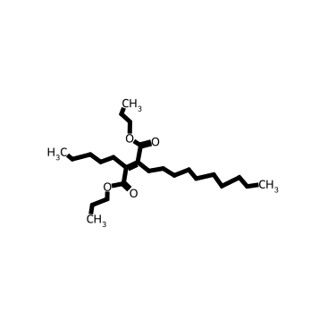 CCCCCCCCCCC(C(=O)OCCC)=C(CCCCC)C(=O)OCCC